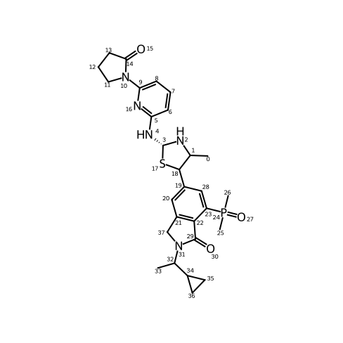 CC1N[C@@H](Nc2cccc(N3CCCC3=O)n2)SC1c1cc2c(c(P(C)(C)=O)c1)C(=O)N(C(C)C1CC1)C2